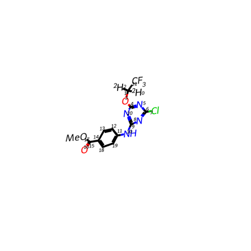 [2H]C([2H])(Oc1nc(Cl)nc(Nc2ccc(C(=O)OC)cc2)n1)C(F)(F)F